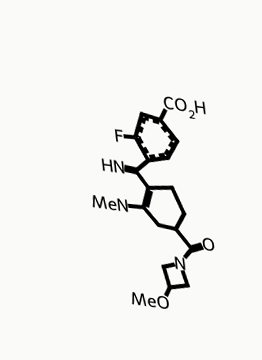 CNC1=C(C(=N)c2ccc(C(=O)O)cc2F)CCC(C(=O)N2CC(OC)C2)C1